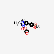 CCS(=O)(=O)c1ccc(-c2ccc3c(c2)N(C(=O)OC2CCOCC2)CC(C)N3C(C)=O)cc1